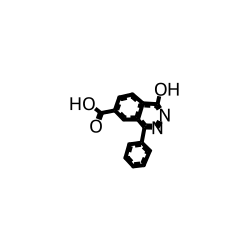 O=C(O)c1ccc2c(O)nnc(-c3ccccc3)c2c1